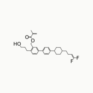 C=C(C)C(=O)OCc1cc(-c2ccc(C3CCC(CCC=C(F)F)CC3)cc2)ccc1CCCO